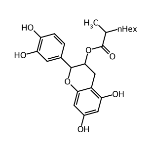 CCCCCCC(C)C(=O)OC1Cc2c(O)cc(O)cc2OC1c1ccc(O)c(O)c1